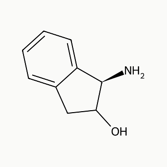 N[C@@H]1c2ccccc2CC1O